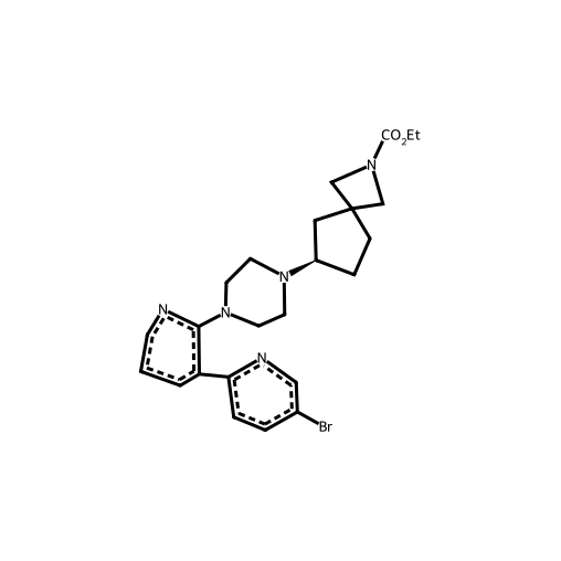 CCOC(=O)N1CC2(CC[C@@H](N3CCN(c4ncccc4-c4ccc(Br)cn4)CC3)C2)C1